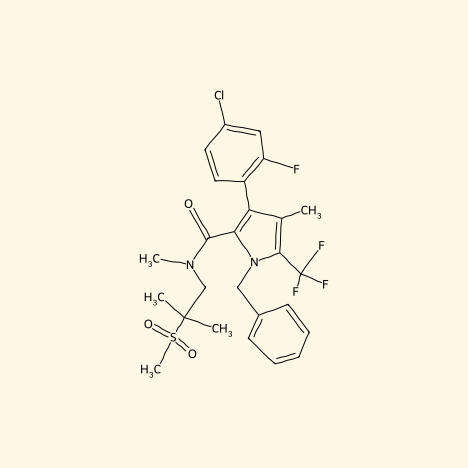 Cc1c(-c2ccc(Cl)cc2F)c(C(=O)N(C)CC(C)(C)S(C)(=O)=O)n(Cc2ccccc2)c1C(F)(F)F